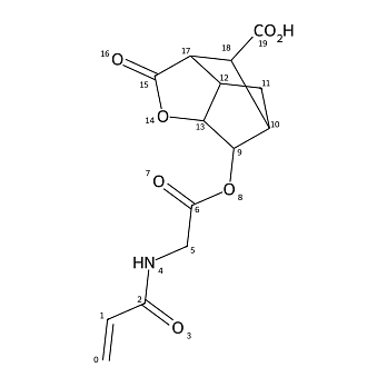 C=CC(=O)NCC(=O)OC1C2CC3C1OC(=O)C3C2C(=O)O